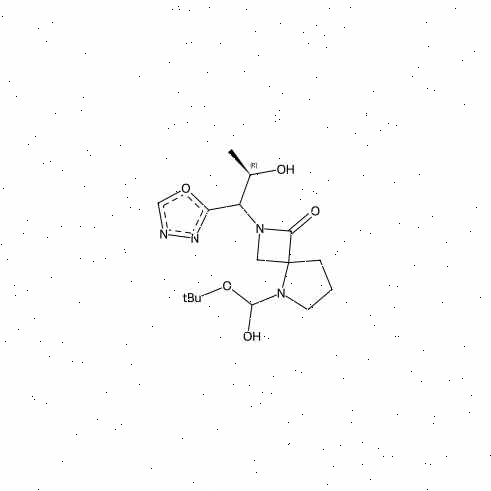 C[C@@H](O)C(c1nnco1)N1CC2(CCCN2C(O)OC(C)(C)C)C1=O